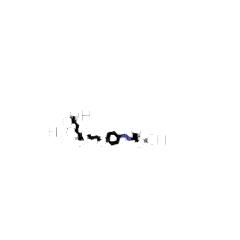 C#COC(=O)/C=C/c1ccc(OCCOC(=O)C(=C)CC(=O)O)cc1